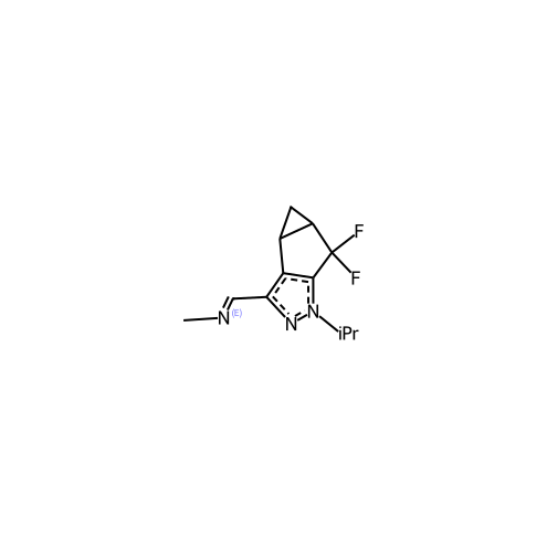 C/N=C/c1nn(C(C)C)c2c1C1CC1C2(F)F